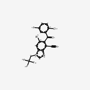 N#Cc1c(C(=O)c2cc(F)ccc2Cl)c(Br)cc2c1ncn2CC(F)(F)F